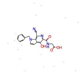 N#Cc1nc(C(=O)NCC(=O)O)c(O)c2ccn(Cc3ccccc3)c12